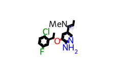 C/C=C(\NC)c1cnc(N)c(OC(C)c2cc(F)ccc2Cl)c1